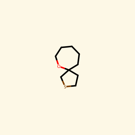 C1CCOC2(CC1)CCSC2